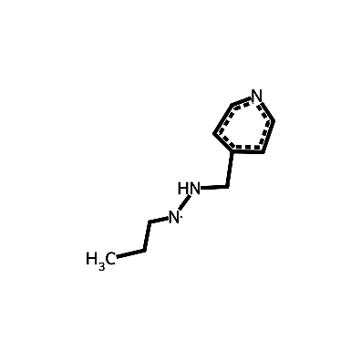 CCC[N]NCc1ccncc1